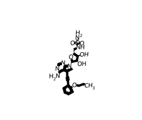 CCCOc1ccccc1C#Cc1cn([C@@H]2O[C@H](CNS(N)(=O)=O)[C@@H](O)[C@H]2O)c2ncnc(N)c12